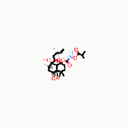 C=C[C@@H](C)CC(=O)[C@]1(O)[C@@H](C)C[C@H](O)[C@H]2C(C)(C)CC[C@](O)(OC(=O)NOC(=O)C(C)C)[C@@]21C